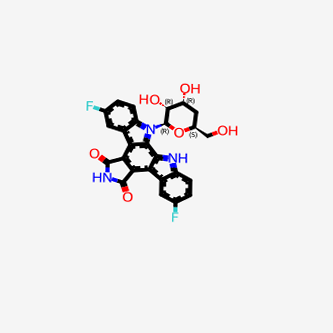 O=C1NC(=O)c2c1c1c3cc(F)ccc3[nH]c1c1c2c2cc(F)ccc2n1[C@@H]1O[C@H](CO)C[C@@H](O)[C@H]1O